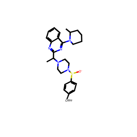 COc1ccc([S+]([O-])N2CCN(C(C)c3nc(N4CCCCC4C)c4ccccc4n3)CC2)cc1